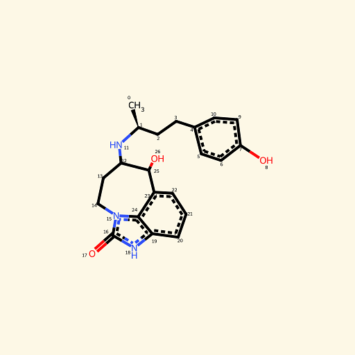 C[C@@H](CCc1ccc(O)cc1)NC1CCn2c(=O)[nH]c3cccc(c32)C1O